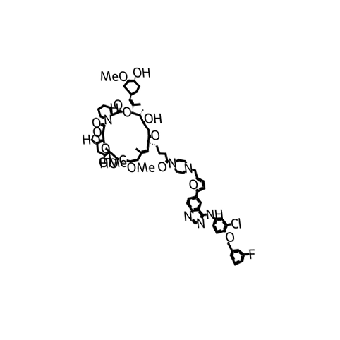 CO[C@H]1C/C(C)=C/[C@@H](CCCC(=O)N2CCN(Cc3ccc(-c4ccc5ncnc(Nc6ccc(OCc7cccc(F)c7)c(Cl)c6)c5c4)o3)CC2)C(=O)C[C@H](O)[C@@H](C)[C@@H](/C(C)=C/[C@@H]2CC[C@@H](O)[C@H](OC)C2)OC(=O)[C@@H]2CCCCN2C(=O)C(=O)[C@]2(O)O[C@@H]([C@@H](OC)C[C@H]2C)[C@@H](O)C1